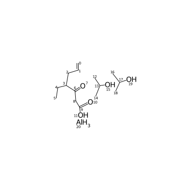 C=CCC(CC)C(=O)CC(=O)O.CC(C)O.CC(C)O.[AlH3]